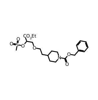 CCOC(=O)C(COCCC1CCN(C(=O)OCc2ccccc2)CC1)OS(C)(=O)=O